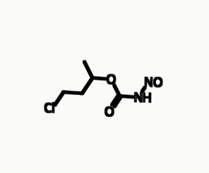 CC(CCCl)OC(=O)NN=O